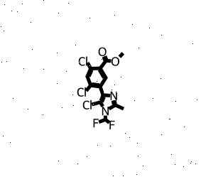 COC(=O)c1cc(-c2nc(C)n(C(F)F)c2Cl)c(Cl)cc1Cl